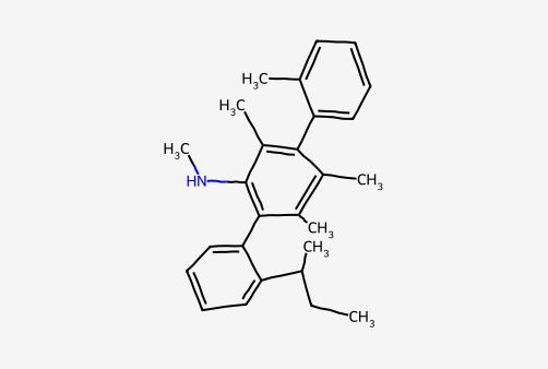 CCC(C)c1ccccc1-c1c(C)c(C)c(-c2ccccc2C)c(C)c1NC